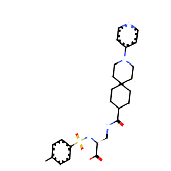 Cc1ccc(S(=O)(=O)N[C@@H](CNC(=O)C2CCC3(CC2)CCN(c2ccncc2)CC3)C(=O)O)cc1